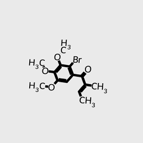 CC=C(C)C(=O)c1cc(OC)c(OC)c(OC)c1Br